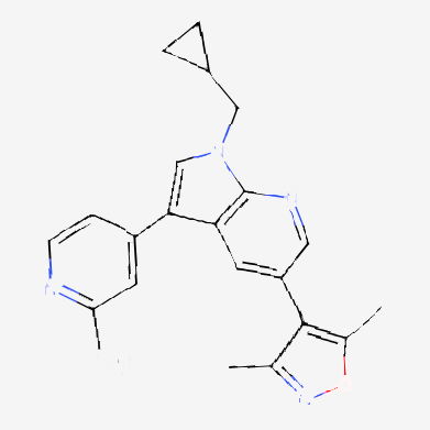 Cc1noc(C)c1-c1cnc2c(c1)c(-c1ccnc(C(=O)O)c1)cn2CC1CC1